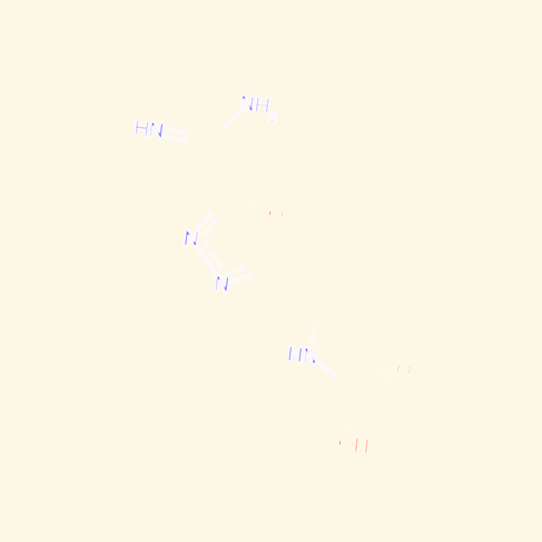 N=C(N)c1nnc(CNC(=O)O)o1